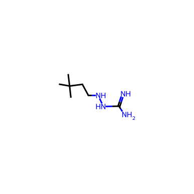 CC(C)(C)CCNNC(=N)N